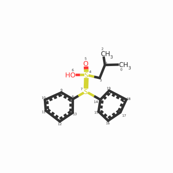 CC(C)CS(=O)(O)=S(c1ccccc1)c1ccccc1